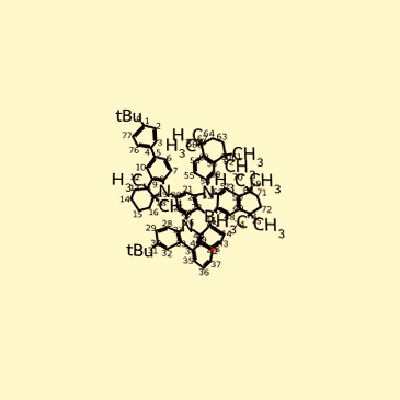 CC(C)(C)c1ccc(-c2ccc3c(c2)C2(C)CCCCC2(C)N3c2cc3c4c(c2)N(c2ccc(C(C)(C)C)cc2-c2ccccc2)c2ccccc2B4c2cc4c(cc2N3c2ccc3c(c2)C(C)(C)CCC3(C)C)C(C)(C)CCC4(C)C)cc1